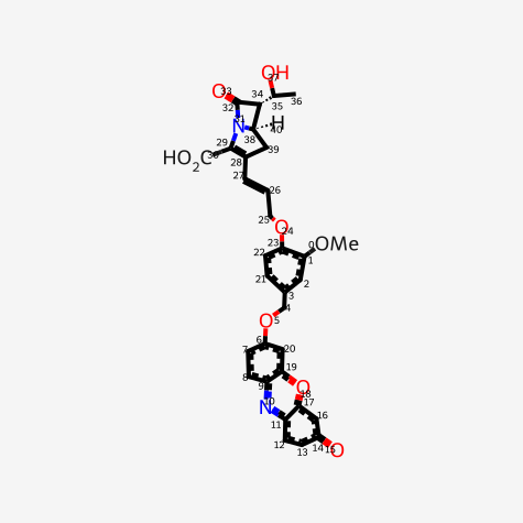 COc1cc(COc2ccc3nc4ccc(=O)cc-4oc3c2)ccc1OC/C=C/C1=C(C(=O)O)N2C(=O)[C@H](C(C)O)[C@H]2C1